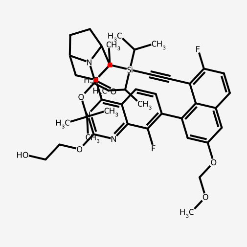 COCOc1cc(-c2ccc3c(N4CC5CCC(C4)N5C(=O)OC(C)(C)C)nc(OCCO)nc3c2F)c2c(C#C[Si](C(C)C)(C(C)C)C(C)C)c(F)ccc2c1